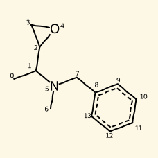 CC(C1CO1)N(C)Cc1ccccc1